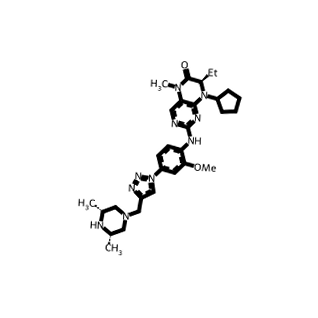 CC[C@@H]1C(=O)N(C)c2cnc(Nc3ccc(-n4cc(CN5C[C@@H](C)N[C@@H](C)C5)nn4)cc3OC)nc2N1C1CCCC1